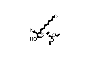 C=C.CCOC(C)OCC.N#CC1C(O)CSC1CCCCCCC=O